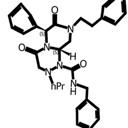 CCCN1CC(=O)N2[C@@H](c3ccccc3)C(=O)N(CCc3ccccc3)C[C@@H]2N1C(=O)NCc1ccccc1